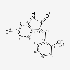 O=C1Nc2cc(Cl)ccc2C1=Cc1ccccc1C(F)(F)F